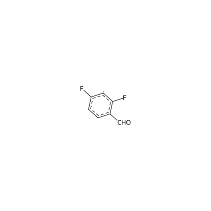 O=Cc1ccc(F)[c]c1F